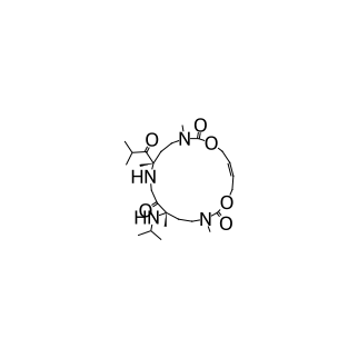 CC(C)N[C@@]1(C)CCN(C)C(=O)OCC=CCOC(=O)N(C)CC[C@@](C)(C(=O)C(C)C)NCC1=O